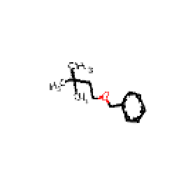 CC(C)(C)CCOCc1ccccc1